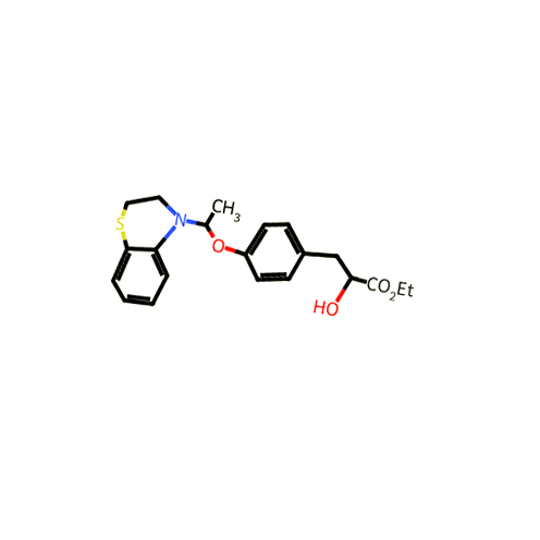 CCOC(=O)C(O)Cc1ccc(OC(C)N2CCSc3ccccc32)cc1